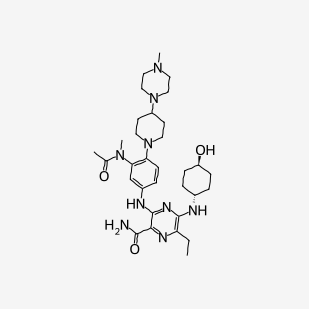 CCc1nc(C(N)=O)c(Nc2ccc(N3CCC(N4CCN(C)CC4)CC3)c(N(C)C(C)=O)c2)nc1N[C@H]1CC[C@H](O)CC1